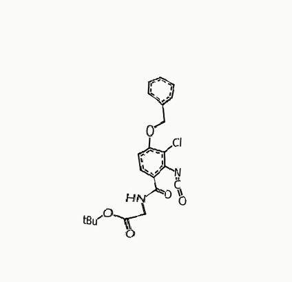 CC(C)(C)OC(=O)CNC(=O)c1ccc(OCc2ccccc2)c(Cl)c1N=C=O